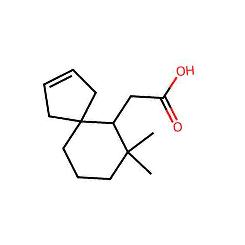 CC1(C)CCCC2(CC=CC2)C1CC(=O)O